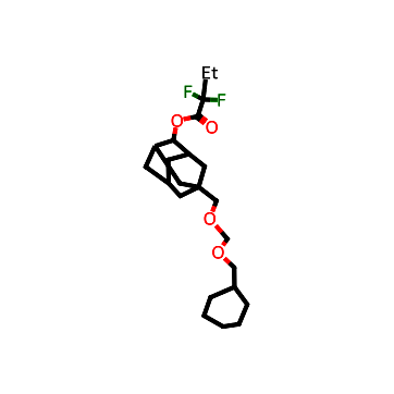 CCC(F)(F)C(=O)OC1C2CC3CC1CC(COCOCC1CCCCC1)(C3)C2